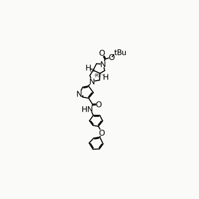 CC(C)(C)OC(=O)N1C[C@@H]2CN(c3cncc(C(=O)Nc4ccc(Oc5ccccc5)cc4)c3)C[C@@H]2C1